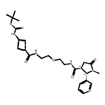 CN1C(=O)C[C@H](C(=O)NCCOCCNC(=O)C2CC(NC(=O)OC(C)(C)C)C2)[C@H]1c1cccnc1